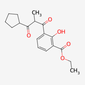 CCOC(=O)c1cccc(C(=O)C(C)C(=O)C2CCCC2)c1O